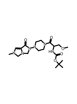 COCC(NC(=O)OC(C)(C)C)C(=O)N1CCN(N2CN3CN(C)C=C3C2=O)CC1